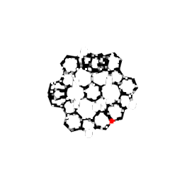 N#Cc1c(C#N)c(-n2c3ccccc3c3ccc4oc5ccccc5c4c32)c(-n2c3ccccc3c3ccc4oc5ccccc5c4c32)c(-c2ccccc2)c1-n1c2ccccc2c2ccc3oc4ccccc4c3c21